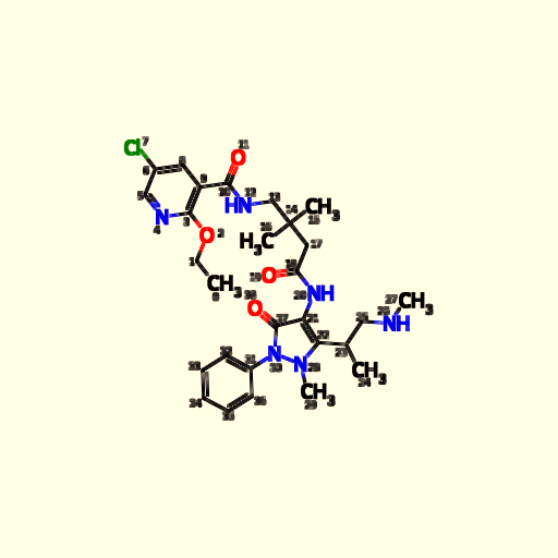 CCOc1ncc(Cl)cc1C(=O)NCC(C)(C)CC(=O)Nc1c(C(C)CNC)n(C)n(-c2ccccc2)c1=O